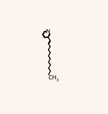 CCCCCCCCCCCC=Cc1cccnc1